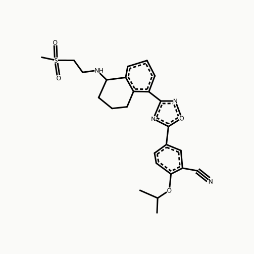 CC(C)Oc1ccc(-c2nc(-c3cccc4c3CCCC4NCCS(C)(=O)=O)no2)cc1C#N